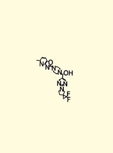 Cc1ccc2oc(N3CCN(C(O)c4cnc(N5CCC6(C5)CC6(F)F)nc4)CC3)nc2n1